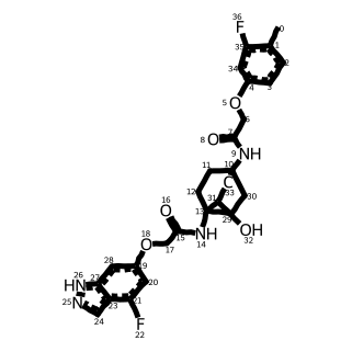 Cc1ccc(OCC(=O)NC23CCC(NC(=O)COc4cc(F)c5cn[nH]c5c4)(CC2)C(O)C3)cc1F